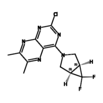 Cc1nc2nc(Cl)nc(N3C[C@@H]4[C@H](C3)C4(F)F)c2nc1C